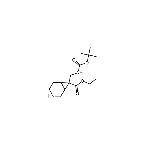 CCOC(=O)C1(CNC(=O)OC(C)(C)C)C2CCNCC21